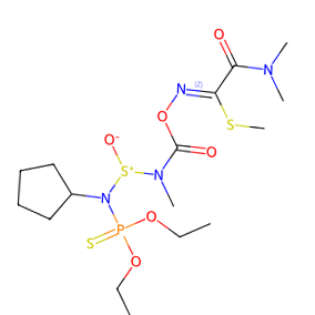 CCOP(=S)(OCC)N(C1CCCC1)[S+]([O-])N(C)C(=O)O/N=C(\SC)C(=O)N(C)C